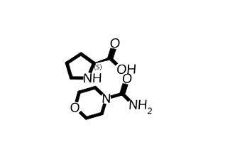 NC(=O)N1CCOCC1.O=C(O)[C@@H]1CCCN1